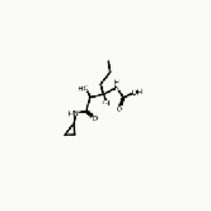 [2H][C@@](CCC)(NC(=O)O)C(O)C(=O)NC1CC1